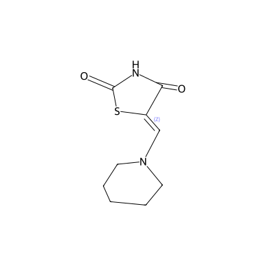 O=C1NC(=O)/C(=C/N2CCCCC2)S1